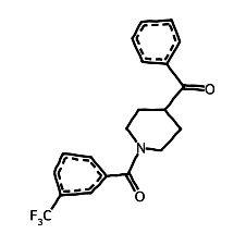 O=C(c1ccccc1)C1CCN(C(=O)c2cccc(C(F)(F)F)c2)CC1